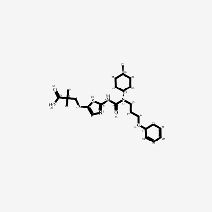 CC(C)(CSc1cnc(NC(=O)N(CCCOC2C=CC=CC2)[C@H]2CC[C@H](C)CC2)s1)C(=O)O